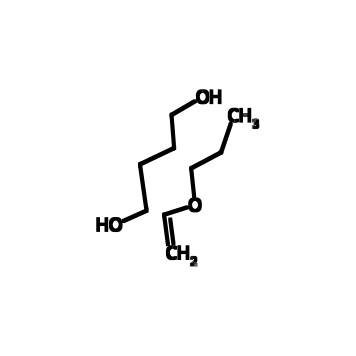 C=COCCC.OCCCCO